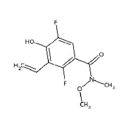 C=Cc1c(O)c(F)cc(C(=O)N(C)OC)c1F